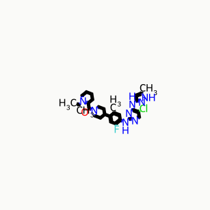 Cc1cc(Nc2nc(Nc3cc(C)c(C4CCN(C(=O)C5CCCCN5C(C)C)CC4)cc3F)ncc2Cl)n[nH]1